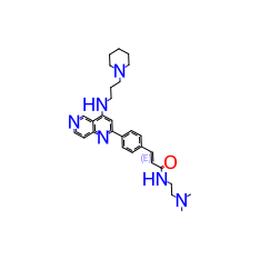 CN(C)CCNC(=O)/C=C/c1ccc(-c2cc(NCCCN3CCCCC3)c3cnccc3n2)cc1